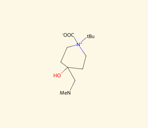 CNCC1(O)CC[N+](C(=O)[O-])(C(C)(C)C)CC1